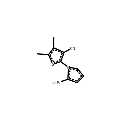 Cc1sc(-n2cccc2C=O)c(C#N)c1C